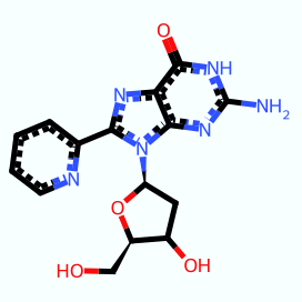 Nc1nc2c(nc(-c3ccccn3)n2[C@H]2CC(O)[C@@H](CO)O2)c(=O)[nH]1